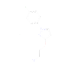 Cl.NCCOc1ccn(-c2ccc(Cl)cc2)n1